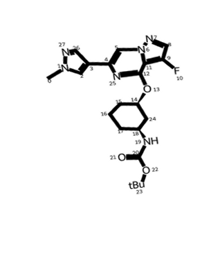 Cn1cc(-c2cn3ncc(F)c3c(O[C@@H]3CCC[C@H](NC(=O)OC(C)(C)C)C3)n2)cn1